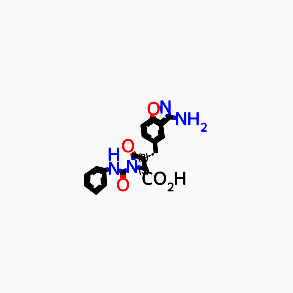 Nc1noc2ccc(C[C@H]3C(=O)N(C(=O)Nc4ccccc4)[C@@H]3C(=O)O)cc12